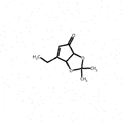 CCC1=CC(=O)C2OC(C)(C)OC12